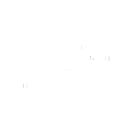 CCCCOCCN(C)C